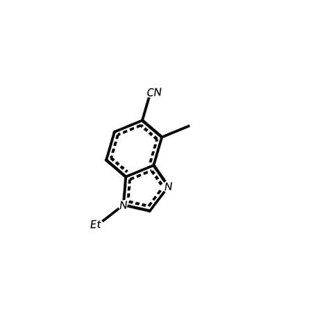 CCn1cnc2c(C)c(C#N)ccc21